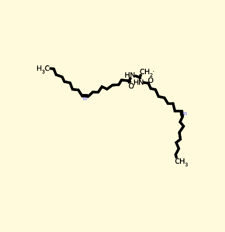 [CH2]C(NC(=O)CCCCCCC/C=C\CCCCCCCC)NC(=O)CCCCCCC/C=C\CCCCCCCC